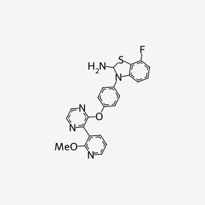 COc1ncccc1-c1nccnc1Oc1ccc(N2c3cccc(F)c3SC2N)cc1